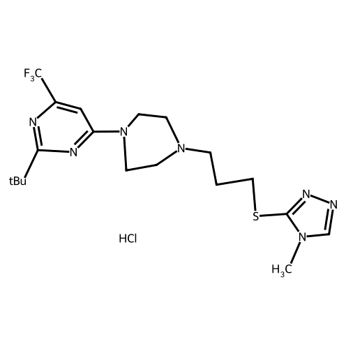 Cl.Cn1cnnc1SCCCN1CCN(c2cc(C(F)(F)F)nc(C(C)(C)C)n2)CC1